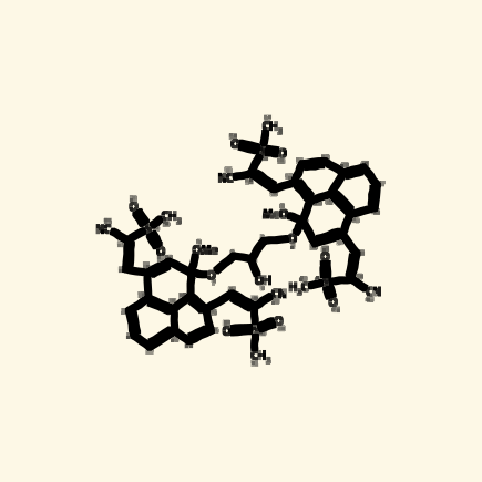 COC1(OCC(O)COC2(OC)C=C(C=C(C#N)S(C)(=O)=O)c3cccc4ccc(C=C(C#N)S(C)(=O)=O)c2c34)C=C(C=C(C#N)S(C)(=O)=O)c2cccc3ccc(C=C(C#N)S(C)(=O)=O)c1c23